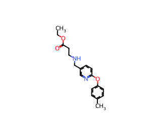 CCOC(=O)CCNCc1ccc(Oc2ccc(C)cc2)nc1